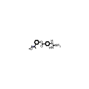 CO/N=C(\C)c1cccc(OC(=O)c2ccc(NC(=N)N)cc2)c1